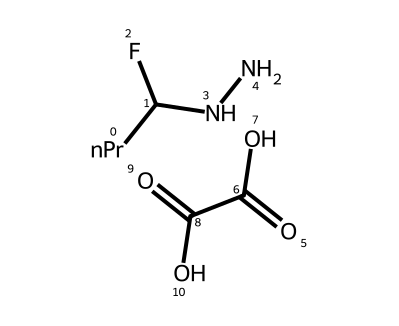 CCCC(F)NN.O=C(O)C(=O)O